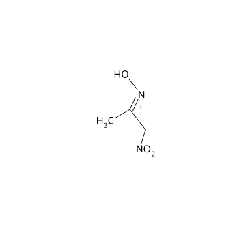 C/C(C[N+](=O)[O-])=N\O